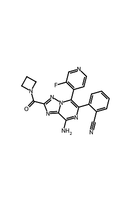 N#Cc1ccccc1-c1nc(N)c2nc(C(=O)N3CCC3)nn2c1-c1ccncc1F